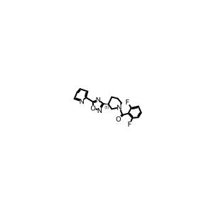 O=C(c1c(F)cccc1F)N1CCC[C@H](c2noc(-c3ccccn3)n2)C1